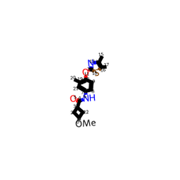 COC1CC(C(=O)Nc2ccc(Oc3nc(C)c(C)s3)c(C)c2)C1